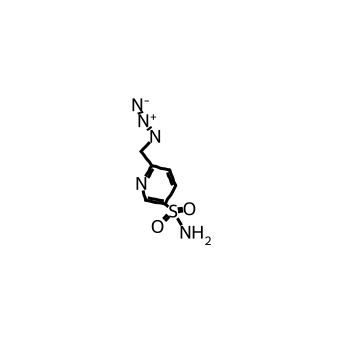 [N-]=[N+]=NCc1ccc(S(N)(=O)=O)cn1